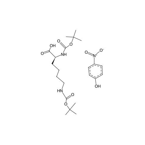 CC(C)(C)OC(=O)NCCCC[C@H](NC(=O)OC(C)(C)C)C(=O)O.O=[N+]([O-])c1ccc(O)cc1